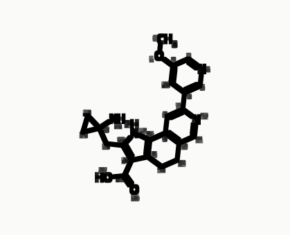 COc1cncc(-c2cc3c(cn2)CCc2c-3[nH]c(CC3(N)CC3)c2C(=O)O)c1